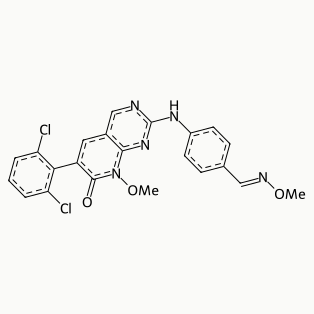 CO/N=C/c1ccc(Nc2ncc3cc(-c4c(Cl)cccc4Cl)c(=O)n(OC)c3n2)cc1